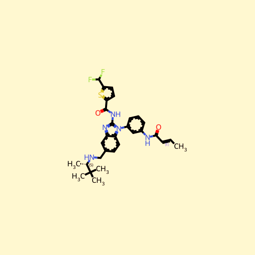 C/C=C/C(=O)Nc1cccc(-n2c(NC(=O)c3ccc(C(F)F)s3)nc3cc(CN[C@@H](C)C(C)(C)C)ccc32)c1